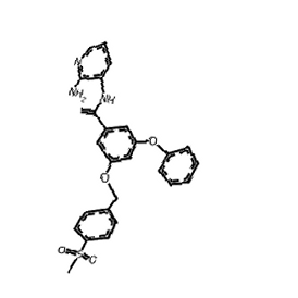 C=C(Nc1cccnc1N)c1cc(OCc2ccc(S(C)(=O)=O)cc2)cc(Oc2ccccc2)c1